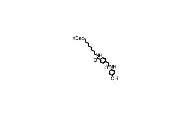 CCCCCCCCCCCCCCCCCCNC(=O)c1ccc(CC(=O)Nc2ccc(O)cc2)cc1